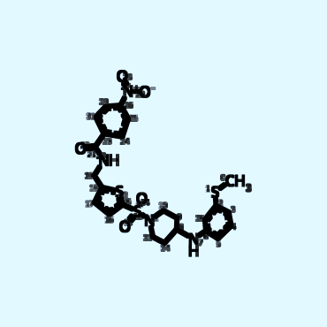 CSc1cccc(NC2CCN(S(=O)(=O)c3ccc(CNC(=O)c4ccc([N+](=O)[O-])cc4)s3)CC2)c1